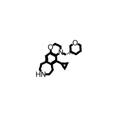 c1c2c(c(C3CC3)c3c1OCCN3C[C@H]1CCCOC1)CCNCC2